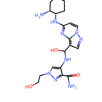 NC(=O)c1nn(CCO)cc1NC(O)c1cnn2ccc(N[C@@H]3CCCC[C@@H]3N)nc12